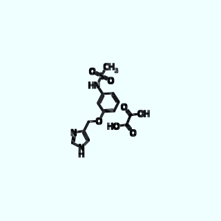 CS(=O)(=O)Nc1cccc(OCc2c[nH]cn2)c1.O=C(O)C(=O)O